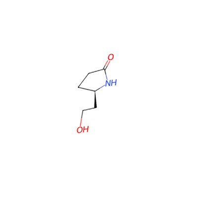 O=C1CC[C@H](CCO)N1